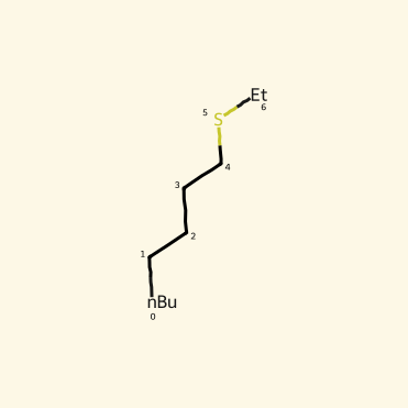 [CH2]CCCCCCCSCC